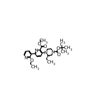 CCOc1ncccc1-c1ccc(N2CCN(C(=O)OC(C)(C)C)C[C@H]2CC)c(C(=O)OC)n1